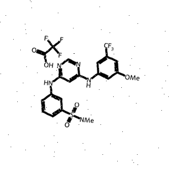 CNS(=O)(=O)c1cccc(Nc2cc(Nc3cc(OC)cc(C(F)(F)F)c3)ncn2)c1.O=C(O)C(F)(F)F